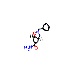 NC(=O)[C@H]1C[C@@H]2CN(Cc3ccccc3)O[C@@H]2C1